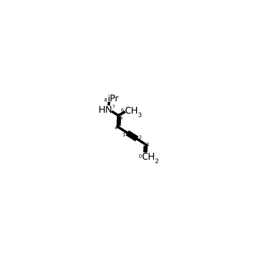 C=CC#C/C=C(\C)NC(C)C